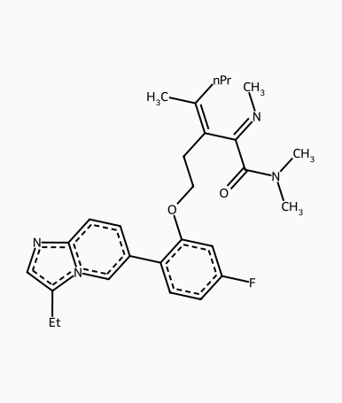 CCC/C(C)=C(CCOc1cc(F)ccc1-c1ccc2ncc(CC)n2c1)\C(=N/C)C(=O)N(C)C